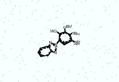 CCCCc1cc(-n2nc3ccccc3n2)c(O)c(CCCC)c1CCCC